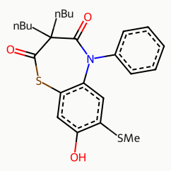 CCCCC1(CCCC)C(=O)Sc2cc(O)c(SC)cc2N(c2ccccc2)C1=O